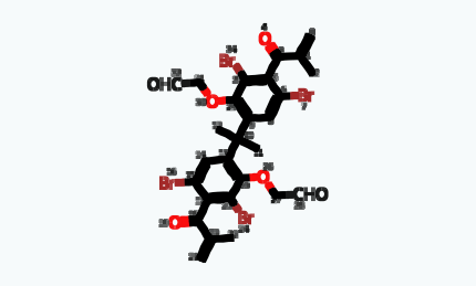 C=C(C)C(=O)c1c(Br)cc(C(C)(C)c2cc(Br)c(C(=O)C(=C)C)c(Br)c2OCC=O)c(OCC=O)c1Br